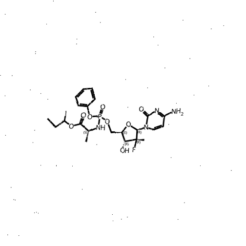 CCC(I)OC(=O)[C@H](C)NP(=O)(OC[C@H]1O[C@@H](n2ccc(N)nc2=O)[C@](C)(F)[C@@H]1O)Oc1ccccc1